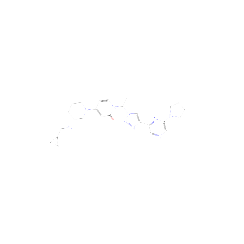 CC(n1cc(-c2cncc(N3CC[C@H](C)C3)n2)nn1)n1ccc(N2CCC[C@@H](NCC3CC3)C2)cc1=O